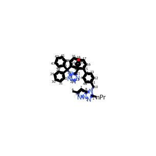 CCCc1nn2nc(C)cc2n1Cc1ccc(-c2ccccc2-c2nnnn2C(c2ccccc2)(c2ccccc2)c2ccccc2)cc1